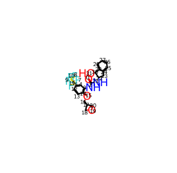 O=C(Nc1cc(S(F)(F)(F)(F)F)ccc1OCC1COC1)N[C@@H]1Cc2ccccc2[C@@H]1O